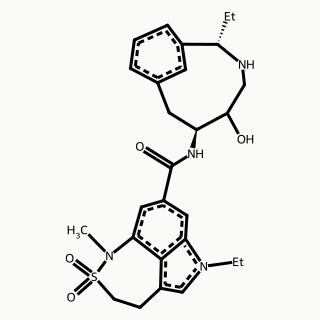 CC[C@@H]1NCC(O)[C@@H](NC(=O)c2cc3c4c(cn(CC)c4c2)CCS(=O)(=O)N3C)Cc2cccc1c2